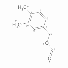 Cc1ccc(COC=O)cc1C